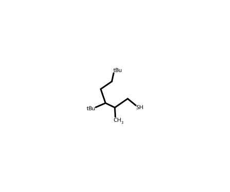 CC(CS)C(CCC(C)(C)C)C(C)(C)C